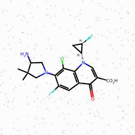 CC1(C)CN(c2c(F)cc3c(=O)c(C(=O)O)cn([C@@H]4C[C@H]4F)c3c2Cl)CC1N